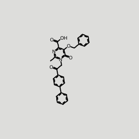 Cc1nc(C(=O)O)c(OCc2ccccc2)c(=O)n1CC(=O)c1ccc(-c2ccccc2)cc1